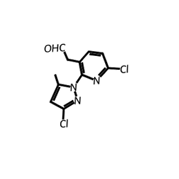 Cc1cc(Cl)nn1-c1nc(Cl)ccc1CC=O